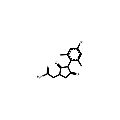 Cc1cc(Br)cc(C)c1C1C(=O)CC(CC(N)=O)C1=O